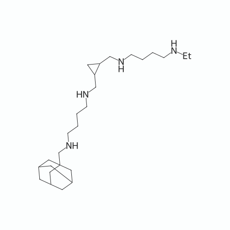 CCNCCCCNCC1CC1CNCCCCNCC12CC3CC(CC(C3)C1)C2